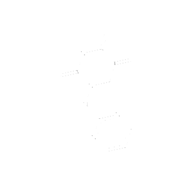 O=C1CN(N=c2nccc[nH]2)C(=O)NC1=O